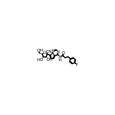 N#C[C@@]1(c2ccc3c(NC(=O)CCc4ccc(F)cc4)ncnn23)O[C@H](CO)[C@@H](O)[C@H]1O